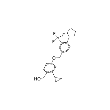 OCc1ccc(OCc2ccc(C3CCCC3)c(C(F)(F)F)c2)cc1C1CC1